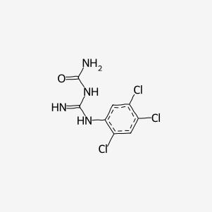 N=C(NC(N)=O)Nc1cc(Cl)c(Cl)cc1Cl